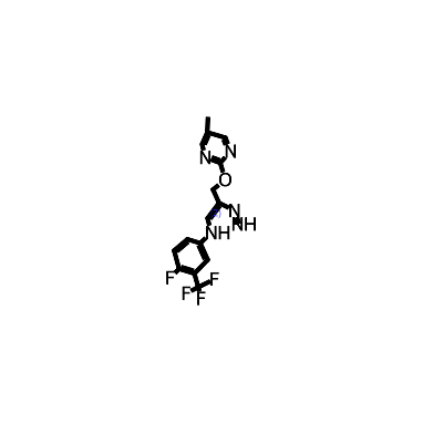 Cc1cnc(OC/C(=C/Nc2ccc(F)c(C(F)(F)F)c2)N=N)nc1